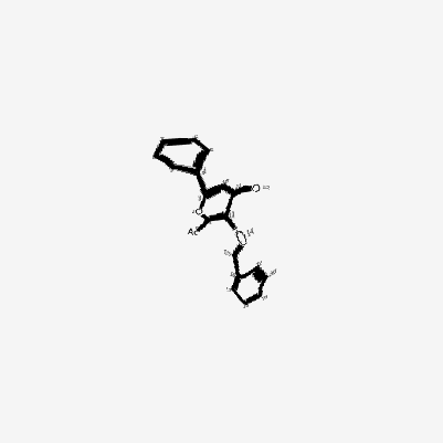 CC(=O)c1oc(-c2ccccc2)cc(=O)c1OCc1ccccc1